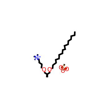 C=C(COCCCCCCCCCCCCCCCC)COCCCC[N+](C)(C)C.CS(=O)(=O)[O-]